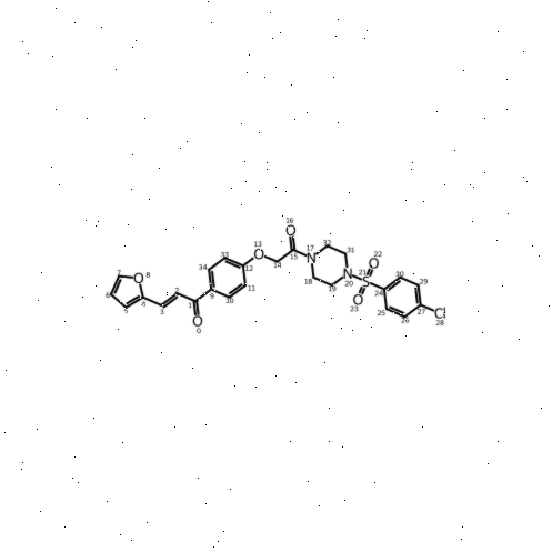 O=C(C=Cc1ccco1)c1ccc(OCC(=O)N2CCN(S(=O)(=O)c3ccc(Cl)cc3)CC2)cc1